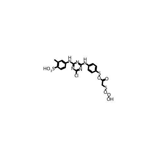 Cc1cc(Nc2nc(Cl)nc(Nc3ccc(SOC(=O)CSOOO)cc3)n2)ccc1S(=O)(=O)O